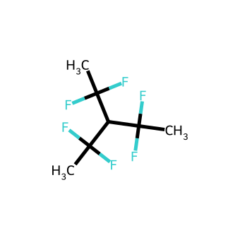 CC(F)(F)C(C(C)(F)F)C(C)(F)F